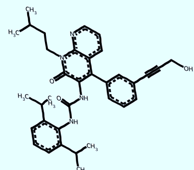 CC(C)CCn1c(=O)c(NC(=O)Nc2c(C(C)C)cccc2C(C)C)c(-c2cccc(C#CCO)c2)c2cccnc21